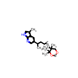 CC1(C)CO[B]OC1(C)C.CCCC(C)c1cnc2[nH]cc(C)c2c1